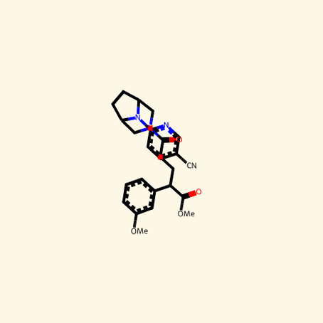 COC(=O)C(CCC(=O)N1CC2CCC(C1)N2c1ccc(C#N)cn1)c1cccc(OC)c1